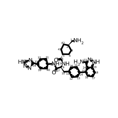 NC[C@H]1CC[C@H](C(=O)N[C@@H](Cc2ccc(-c3cccc4[nH]nc(N)c34)cc2)C(=O)Nc2ccc(-c3nn[nH]n3)cc2)CC1